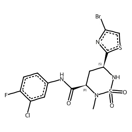 CN1[C@@H](C(=O)Nc2ccc(F)c(Cl)c2)C[C@@H](c2nc(Br)cs2)NS1(=O)=O